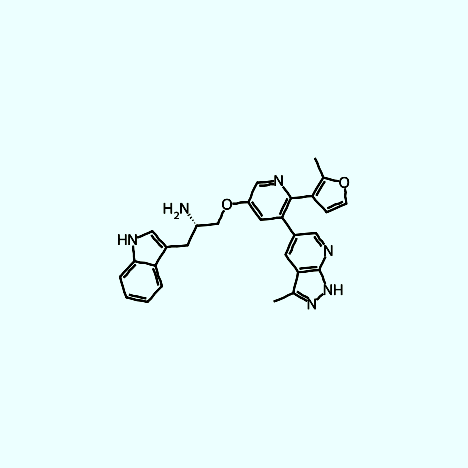 Cc1occc1-c1ncc(OC[C@@H](N)Cc2c[nH]c3ccccc23)cc1-c1cnc2[nH]nc(C)c2c1